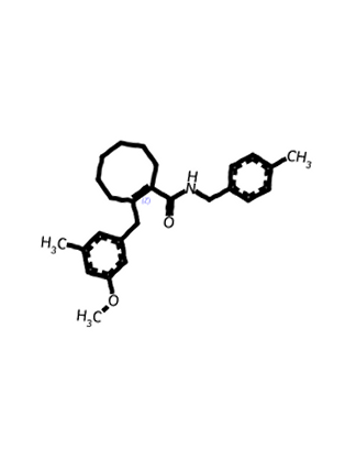 COc1cc(C)cc(C/C2=C(\C(=O)NCc3ccc(C)cc3)CCCCCC2)c1